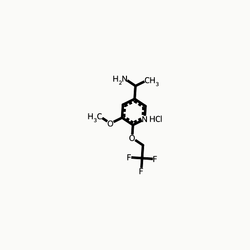 COc1cc(C(C)N)cnc1OCC(F)(F)F.Cl